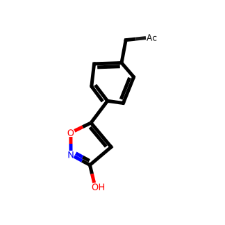 CC(=O)Cc1ccc(-c2cc(O)no2)cc1